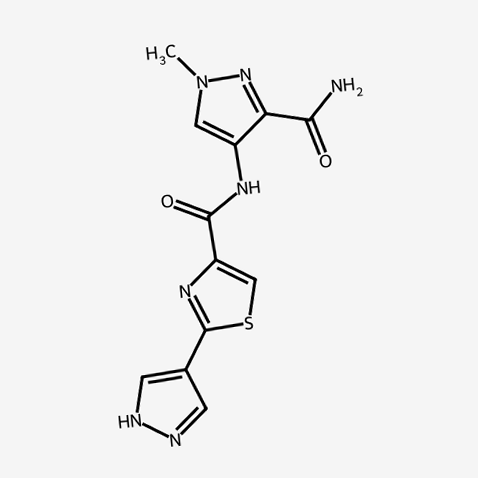 Cn1cc(NC(=O)c2csc(-c3cn[nH]c3)n2)c(C(N)=O)n1